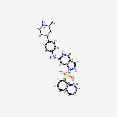 C[C@H]1CN(c2ccc(Nc3cc4c(cn3)cnn4S(=O)(=O)c3cccc4cccnc34)cc2)CCN1